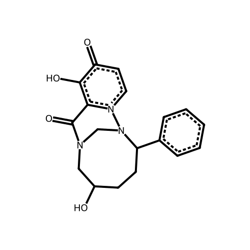 O=C1c2c(O)c(=O)ccn2N2CN1CC(O)CCC2c1ccccc1